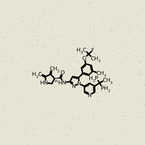 C=C1NC[C@H](C(=O)Nc2cc(-c3cc(C)cc(OC(C)(C)F)c3)n(-c3cncc(C(C)(P)P)c3)n2)C1=C